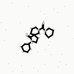 O=C(N1CCCCC1)N1CCCC2(CCN(C3CCCCC3)C2=O)C1